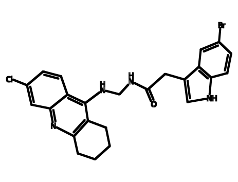 O=C(Cc1c[nH]c2ccc(Br)cc12)NCNc1c2c(nc3cc(Cl)ccc13)CCCC2